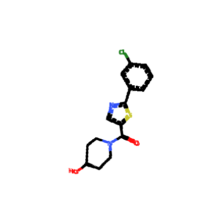 O=C(c1cnc(-c2cccc(Cl)c2)s1)N1CCC(O)CC1